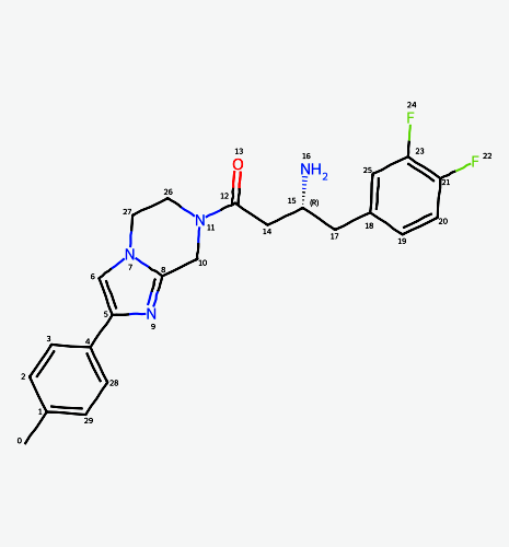 Cc1ccc(-c2cn3c(n2)CN(C(=O)C[C@H](N)Cc2ccc(F)c(F)c2)CC3)cc1